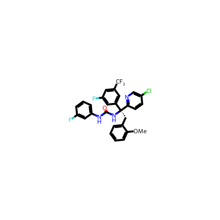 COc1ccccc1C[C@](NC(=O)Nc1cccc(F)c1)(c1cc(F)cc(C(F)(F)F)c1)c1ccc(Cl)cn1